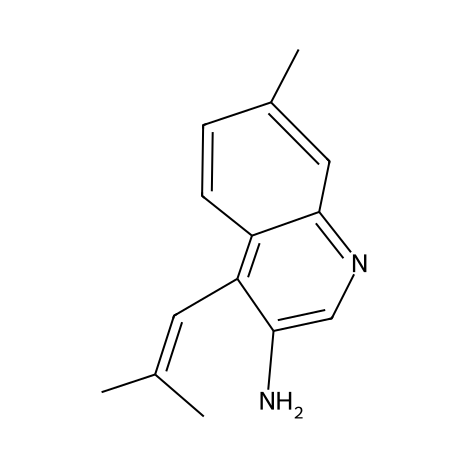 CC(C)=Cc1c(N)cnc2cc(C)ccc12